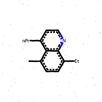 CCCc1ccnc2c(CC)ccc(C)c12